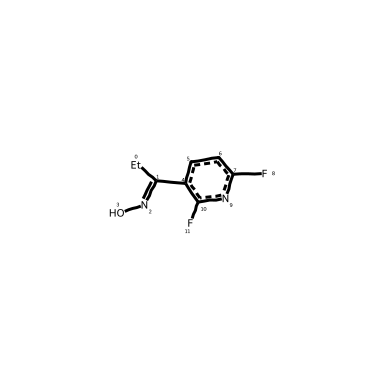 CCC(=NO)c1ccc(F)nc1F